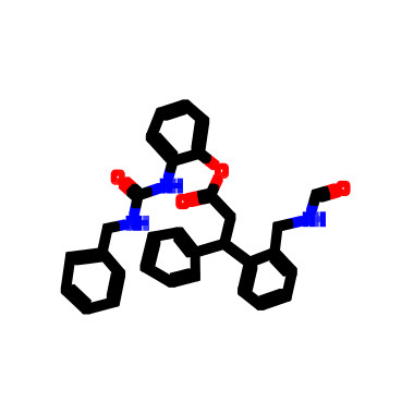 O=CNCc1ccccc1C(CC(=O)Oc1ccccc1NC(=O)NCc1ccccc1)c1ccccc1